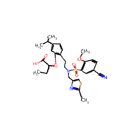 CCC(Oc1cc(C(C)C)ccc1CCN(Cc1csc(C)n1)S(=O)(=O)c1cc(C#N)ccc1OC)C(=O)O